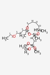 CCOCCC[Si]1(C)OCCCC[SiH](C)O[Si](C)(CC[Si](OC)(OC)OC)O1